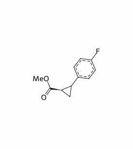 COC(=O)[C@@H]1CC1c1ccc(F)cc1